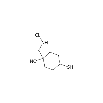 N#CC1(CNCl)CCC(S)CC1